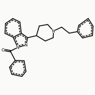 O=C(c1ccccc1)n1nc(C2CCN(CCc3ccccc3)CC2)c2ccccc21